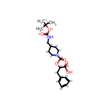 CC(C)(C)OC(=O)NCC1CCN(C(=O)OC(Cc2ccccc2)C(=O)O)CC1